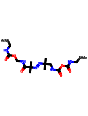 CC(=O)NCNC(=O)OCNC(=O)C(C)(C)N=NC(C)(C)CNC(=O)OC(=O)NCNC(C)=O